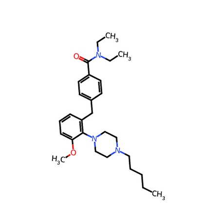 CCCCCN1CCN(c2c(Cc3ccc(C(=O)N(CC)CC)cc3)cccc2OC)CC1